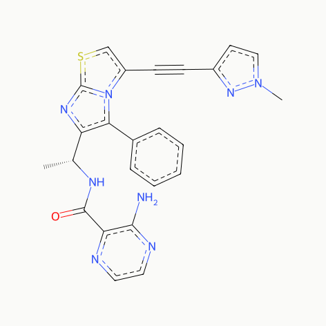 C[C@@H](NC(=O)c1nccnc1N)c1nc2scc(C#Cc3ccn(C)n3)n2c1-c1ccccc1